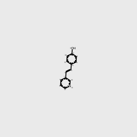 Oc1ccc(C=Cc2cccnc2)cc1